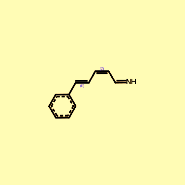 N=C/C=C\C=C\c1ccccc1